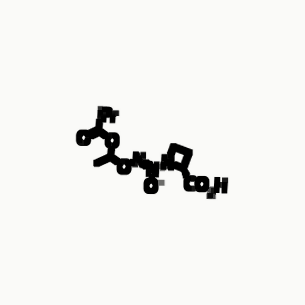 CC(O/N=[N+](\[O-])N1CC[C@H]1C(=O)O)OC(=O)C(C)C